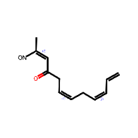 C=C/C=C\C/C=C\CC(=O)/C=C(/C)N=O